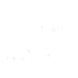 C[C@@]1(O)[C@H](O)[C@@H](COP(=O)(O)OP(=O)(O)OP(=O)(O)O)O[C@H]1n1cc(F)c(N)nc1=O